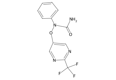 NC(=O)N(Oc1cnc(C(F)(F)F)nc1)c1ccccc1